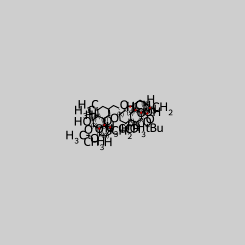 C=C1C(=O)[C@]23[C@H](O)[C@H]1CC[C@H]2[C@]12C(=O)[C@@]4(CCC5=C(O4)[C@@]46CO[C@]7(OC(C)(C)O[C@@H]8[C@H]9CC[C@@H]4[C@]87C(=O)C9=C)[C@@H](O)[C@@H]6C(C)(C)C5)CC(C)(C)[C@H]1[C@H](O)[C@@]3(OC(C)(C)C)O[C@H]2C